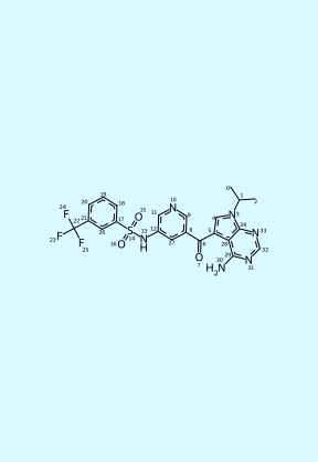 CC(C)n1cc(C(=O)c2cncc(NS(=O)(=O)c3cccc(C(F)(F)F)c3)c2)c2c(N)ncnc21